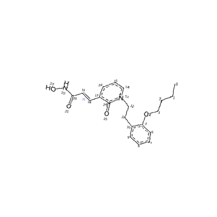 CCCCOc1ccccc1CCn1cccc(/C=C/C(=O)NO)c1=O